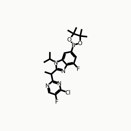 CC(c1ncc(F)c(Cl)n1)c1nc2c(F)cc(B3OC(C)(C)C(C)(C)O3)cc2n1C(C)C